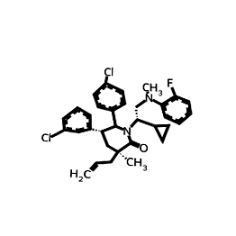 C=CC[C@@]1(C)C[C@H](c2cccc(Cl)c2)C(c2ccc(Cl)cc2)N([C@H](CN(C)c2ccccc2F)C2CC2)C1=O